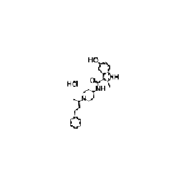 Cc1[nH]c2ccc(O)cc2c1C(=O)NC1CCN(C(C)CCc2ccccc2)CC1.Cl